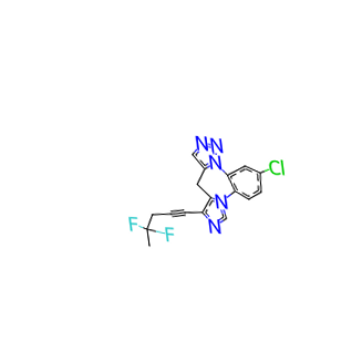 CC(F)(F)CC#Cc1ncn2c1Cc1cnnn1-c1cc(Cl)ccc1-2